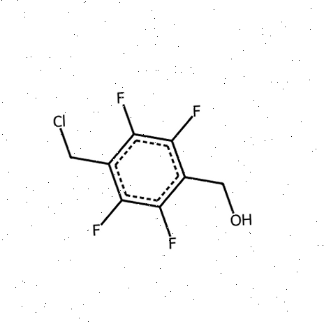 OCc1c(F)c(F)c(CCl)c(F)c1F